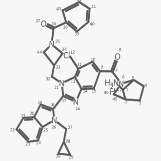 N[C@@H]1C2CCC1N(C(=O)c1cc(Cl)c3c(c1)nc(-c1cc4ccccc4n1CC1CC1)n3CC1CN(C(=O)c3ccccc3)C1)C2